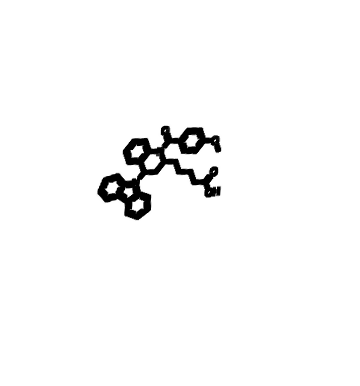 COc1ccc(C(=O)N2c3ccccc3C(n3c4ccccc4c4ccccc43)CC2CCCCC(=O)O)cc1